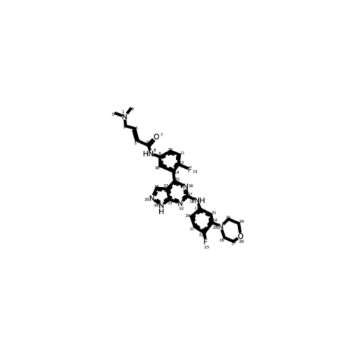 CN(C)C/C=C/C(=O)Nc1ccc(F)c(-c2nc(Nc3ccc(F)c(N4CCOCC4)c3)nc3[nH]ncc23)c1